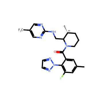 Cc1cc(F)c(-n2nccn2)c(C(=O)N2CCC[C@@H](C)C2CNc2ncc(C(F)(F)F)cn2)c1